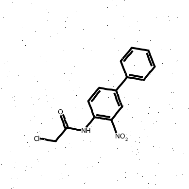 O=C(CCl)Nc1ccc(-c2ccccc2)cc1[N+](=O)[O-]